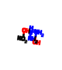 NN.NO.O=[N+]([O-])O